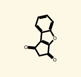 O=C1CC(=O)c2c1oc1ccccc21